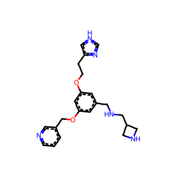 c1cncc(COc2cc(CNCC3CNC3)cc(OCCc3c[nH]cn3)c2)c1